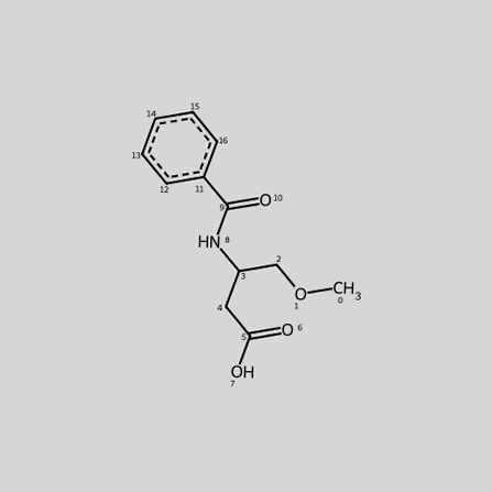 COCC(CC(=O)O)NC(=O)c1ccccc1